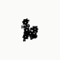 CC1(C)CC(C(=O)N[C@H]2CC[C@@](c3ccc(C(OCc4c(F)cccc4F)(C(F)(F)F)C(F)(F)F)cc3)(S(=O)(=O)c3ccc(F)cc3)CC2)CCO1